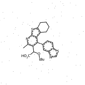 Cc1nc2sc3c(c2c(-c2ccc4scnc4c2)c1C(OC(C)(C)C)C(=O)O)CCCC3